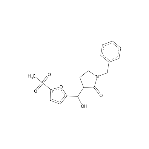 CS(=O)(=O)c1ccc(C(O)C2CCN(Cc3ccccc3)C2=O)o1